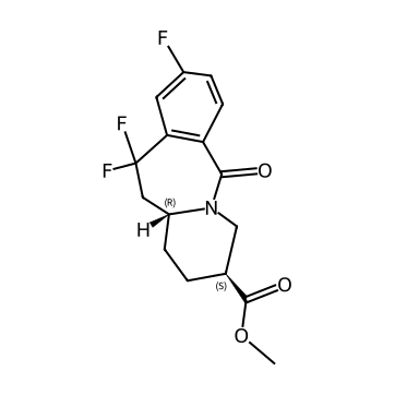 COC(=O)[C@H]1CC[C@@H]2CC(F)(F)c3cc(F)ccc3C(=O)N2C1